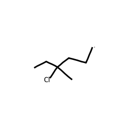 [CH2]CCC(C)(Cl)CC